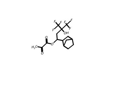 CC(=O)C(=O)OC(CC(O)(C(F)(F)F)C(F)(F)F)C1CC2CCC1C2